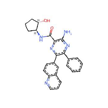 Nc1nc(-c2ccccc2)c(-c2ccc3ncccc3c2)nc1C(=O)N[C@H]1CCC[C@@H]1O